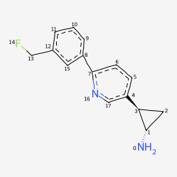 N[C@H]1C[C@@H]1c1ccc(-c2cccc(CF)c2)nc1